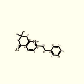 CC1(C)CC(=O)c2ccc(CCc3ccccc3)nc2C1